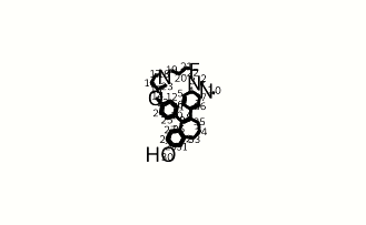 CN1C=NC2C=CC(C3=C(c4ccc(O[C@H]5CCN(CCCF)C5)cc4)c4ccc(O)cc4CCC3)=CC21